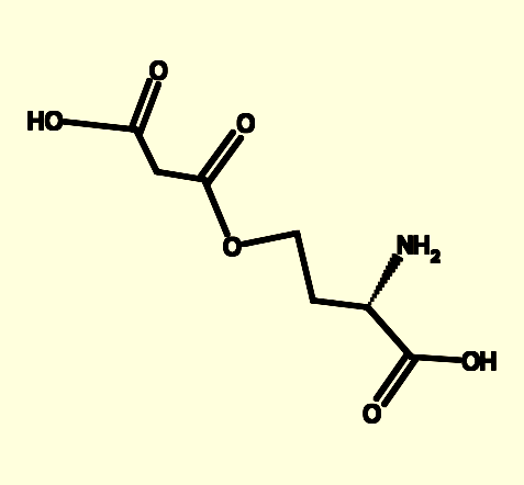 N[C@@H](CCOC(=O)CC(=O)O)C(=O)O